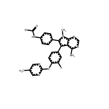 CCC(=O)Nc1ccc(-c2c(-c3ccc(Oc4ncc(C)cn4)c(F)c3)c3c(N)ncnc3n2C)cc1